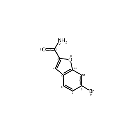 NC(=O)c1cc2ccc(Br)cc2o1